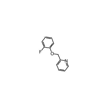 Fc1c[c]ccc1OCc1ccccn1